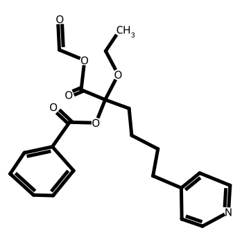 CCOC(CCCCc1ccncc1)(OC(=O)c1ccccc1)C(=O)OC=O